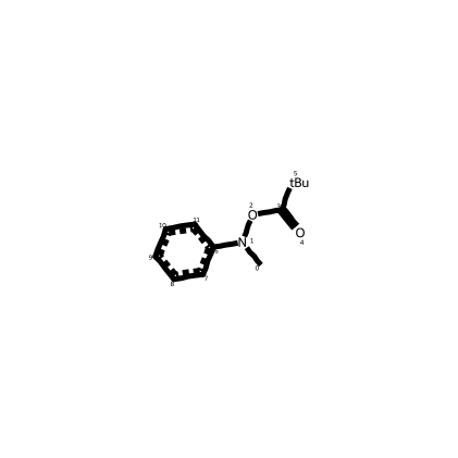 CN(OC(=O)C(C)(C)C)c1ccccc1